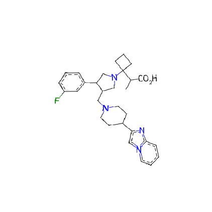 CC(C(=O)O)C1(N2CC(CN3CCC(c4cn5ccccc5n4)CC3)C(c3cccc(F)c3)C2)CCC1